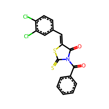 O=C1C(=Cc2ccc(Cl)c(Cl)c2)SC(=S)N1C(=O)c1ccccc1